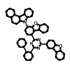 c1ccc(-c2ccccc2-c2nc(-c3ccc4oc5ccccc5c4c3)nc(-c3ccc(-n4c5ccccc5c5c6ccccc6ccc54)c4oc5ccccc5c34)n2)cc1